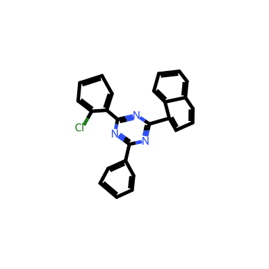 Clc1ccccc1-c1nc(-c2ccccc2)nc(-c2cccc3ccccc23)n1